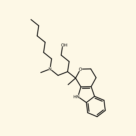 CCCCCCN(C)CC(CCO)C1(C)OCCc2c1[nH]c1ccccc21